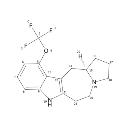 FC(F)(F)Oc1cccc2[nH]c3c(c12)C[C@H]1CCCN1CC3